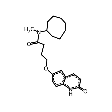 CN(C(=O)CCCOc1ccc2[nH]c(=O)ccc2c1)C1CCCCCCC1